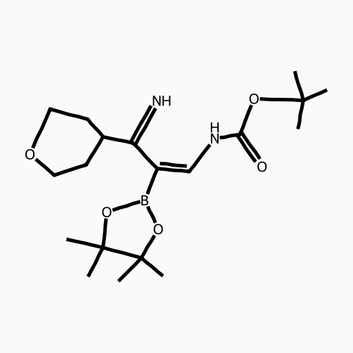 CC(C)(C)OC(=O)N/C=C(/B1OC(C)(C)C(C)(C)O1)C(=N)C1CCOCC1